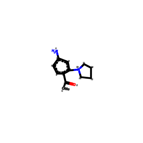 COC(=O)c1ccc(N)cc1N1CCCC1